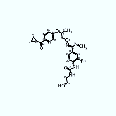 C=N/C(=N\OCC(C)Oc1ccc(C(=O)C2CC2)nc1)c1ccc(NC(=O)NCCO)c(F)c1